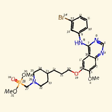 COc1cc2ncnc(Nc3cccc(Br)c3)c2cc1OCCCC1CCN(CP(=O)(OC)OC)CC1